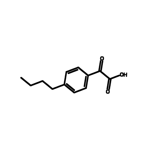 CCCCc1ccc(C(=O)C(=O)O)cc1